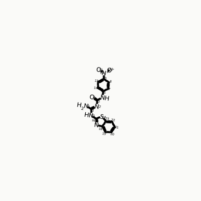 NC(=NC(=O)Nc1ccc([N+](=O)[O-])cc1)Nc1nc2ccccc2s1